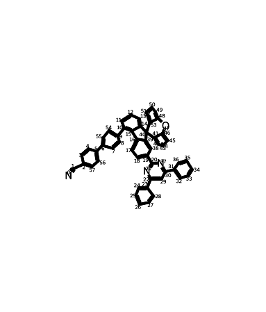 N#Cc1ccc(-c2ccc(-c3cccc4c3-c3ccc(-c5nc(-c6ccccc6)cc(-c6ccccc6)n5)cc3C43c4ccccc4Oc4ccccc43)cc2)cc1